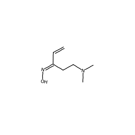 C=C/C(CCN(C)C)=N/O